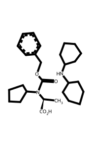 C1CCC(NC2CCCCC2)CC1.C[C@@H](C(=O)O)N(C(=O)OCc1ccccc1)C1CCCC1